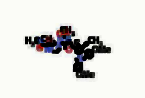 CC#Cc1cc(N(Cc2ccc(OC)cc2)Cc2ccc(OC)cc2)cc(C2Cc3nc(S(C)(=O)=O)nc(N4CCCn5nc(C(=O)N(C)C)c(Br)c5C4)c3CO2)c1C(F)(F)F